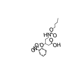 CCCCOC(=O)NCCC(CC(=O)O)Oc1ccccc1[N+](=O)[O-]